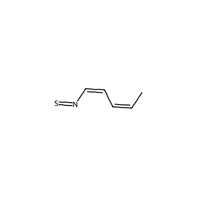 C/C=C\C=C/N=S